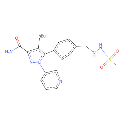 CCCCc1c(C(N)=O)nn(-c2cccnc2)c1-c1ccc(CNNS(C)(=O)=O)cc1